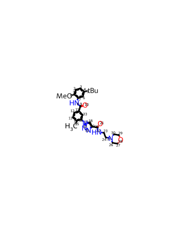 COc1ccc(C(C)(C)C)cc1NC(=O)c1ccc(C)c(-n2cc(C(=O)NCCN3CCOCC3)nn2)c1